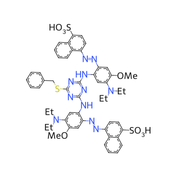 CCN(CC)c1cc(Nc2nc(Nc3cc(N(CC)CC)c(OC)cc3/N=N/c3ccc(S(=O)(=O)O)c4ccccc34)nc(SCc3ccccc3)n2)c(/N=N/c2ccc(S(=O)(=O)O)c3ccccc23)cc1OC